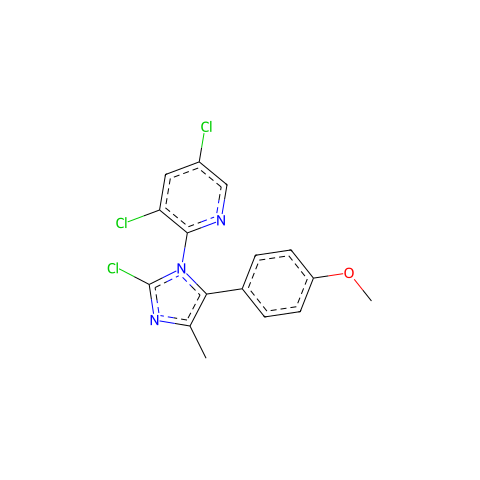 COc1ccc(-c2c(C)nc(Cl)n2-c2ncc(Cl)cc2Cl)cc1